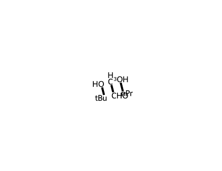 CC(C)(C)O.CC=O.CCCO